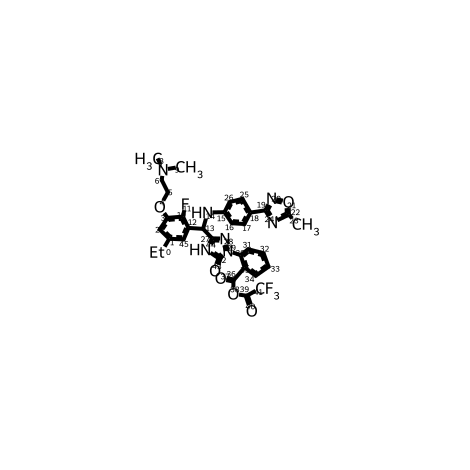 CCc1cc(OCCN(C)C)c(F)c(C(Nc2ccc(-c3noc(C)n3)cc2)c2nn(-c3ccccc3C(=O)OC(=O)C(F)(F)F)c(=O)[nH]2)c1